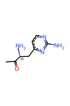 CC(=O)[C@@H](N)Cc1ccnc(N)n1